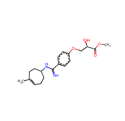 COC(=O)[C@H](O)COc1ccc(C(=N)NC2CCC=C(C)CC2)cc1